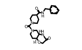 O=C1CO[C@H]2CCN(C(=O)N3CCC(C(=O)NCc4ccccc4)CC3)C[C@H]2N1